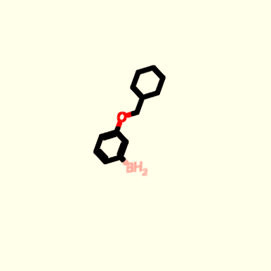 Bc1cccc(OCC2CCCCC2)c1